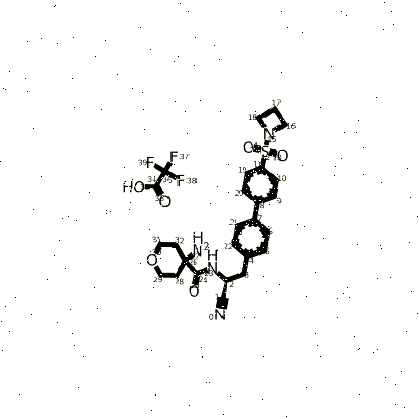 N#C[C@H](Cc1ccc(-c2ccc(S(=O)(=O)N3CCC3)cc2)cc1)NC(=O)C1(N)CCOCC1.O=C(O)C(F)(F)F